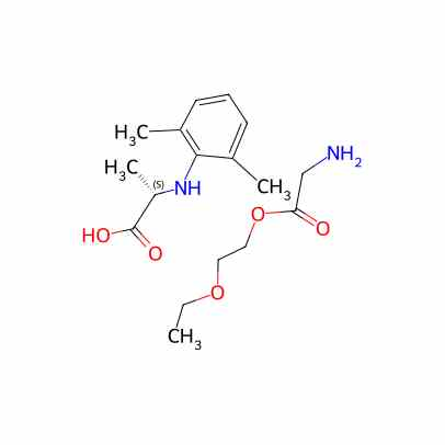 CCOCCOC(=O)CN.Cc1cccc(C)c1N[C@@H](C)C(=O)O